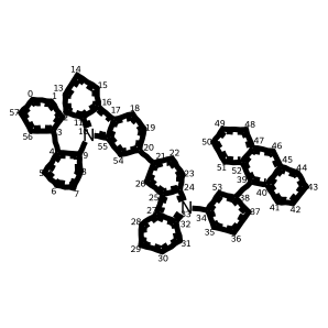 c1ccc(-c2ccccc2-n2c3ccccc3c3ccc(-c4ccc5c(c4)c4ccccc4n5-c4cccc(-c5c6ccccc6cc6ccccc56)c4)cc32)cc1